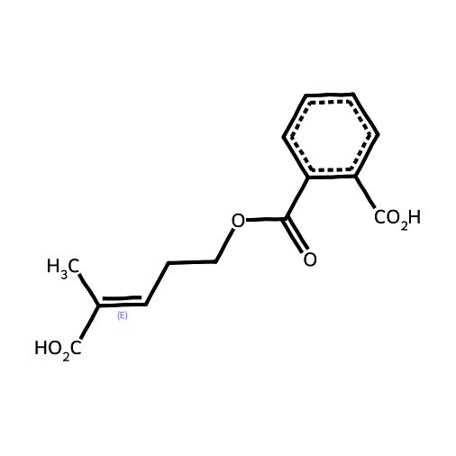 C/C(=C\CCOC(=O)c1ccccc1C(=O)O)C(=O)O